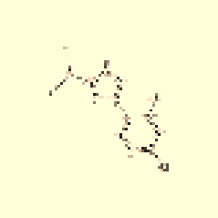 FC(F)n1cc(-c2ccc(Cl)cc2Br)cn1